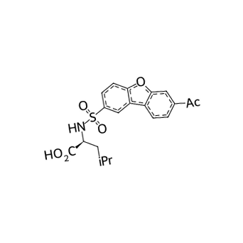 CC(=O)c1ccc2c(c1)oc1ccc(S(=O)(=O)N[C@@H](CC(C)C)C(=O)O)cc12